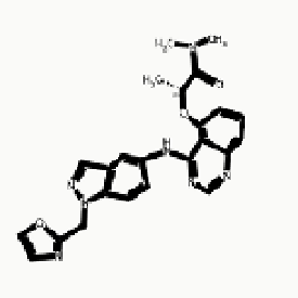 C[C@@H](Oc1cccc2ncnc(Nc3ccc4c(cnn4Cc4ncco4)c3)c12)C(=O)N(C)C